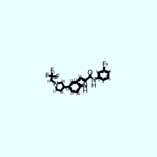 O=C(Nc1cccc(F)c1)c1cc2cc(C3CCN(CC(F)(F)F)C3)ccc2[nH]1